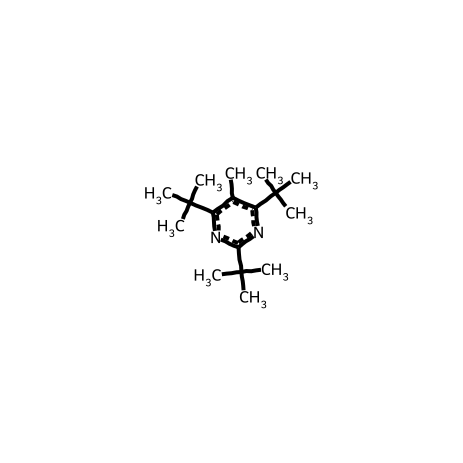 Cc1c(C(C)(C)C)nc(C(C)(C)C)nc1C(C)(C)C